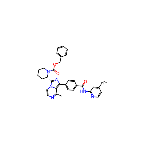 CCCc1ccnc(NC(=O)c2ccc(-c3nc([C@@H]4CCCCN4C(=O)OCc4ccccc4)n4ccnc(C)c34)cc2)c1